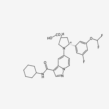 O=C(NC1CCCCC1)c1cnn2ccc(N3CCC[C@@H]3c3cc(F)cc(OC(F)F)c3)cc12.O=C(O)O